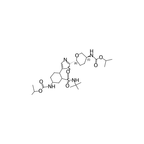 CC(C)OC(=O)NC1CCC(c2cnc([C@H]3CC[C@H](NC(=O)OC(C)C)CO3)s2)C(S(=O)(=O)NC(C)(C)C)C1